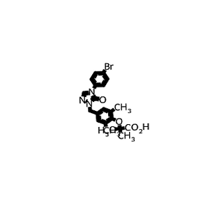 Cc1cc(Cn2ncn(-c3ccc(Br)cc3)c2=O)cc(C)c1OC(C)(C)C(=O)O